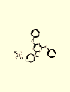 C[N+]1(c2nc(Oc3ccccc3)nc(Oc3ccccc3)n2)CCOCC1.[O-][Cl+3]([O-])([O-])[O-]